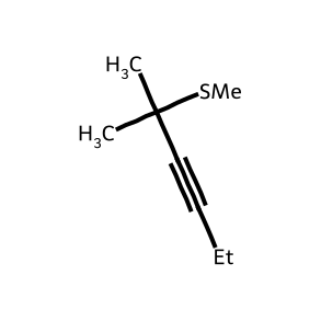 [CH2]CC#CC(C)(C)SC